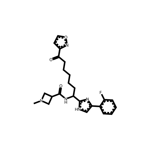 CN1CC(C(=O)NC(CCCCCC(=O)c2ccon2)c2nc(-c3ccccc3F)c[nH]2)C1